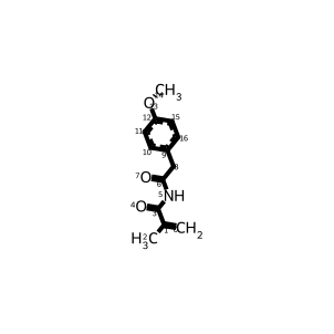 C=C(C)C(=O)NC(=O)Cc1ccc(OC)cc1